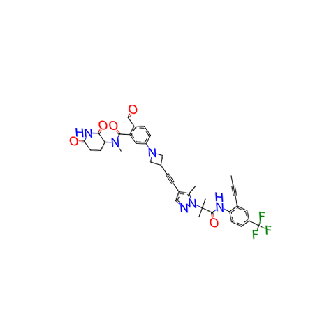 CC#Cc1cc(C(F)(F)F)ccc1NC(=O)C(C)(C)n1ncc(C#CC2CN(c3ccc(C=O)c(C(=O)N(C)C4CCC(=O)NC4=O)c3)C2)c1C